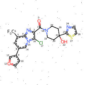 O=C(c1nc2c(C(F)(F)F)cc(-c3ccoc3)cn2c1Cl)N1CCC(O)(c2nccs2)CC1